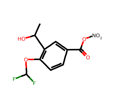 CC(O)c1cc(C(=O)O[N+](=O)[O-])ccc1OC(F)F